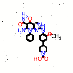 COc1cc(C2CCN(C(=O)O)CC2)ccc1Nc1ncc2c(=O)c(C(N)=O)c(N)n(-c3ccccc3)c2n1